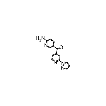 Nc1ccc(C(=O)c2ccnc(-n3cccn3)c2)cn1